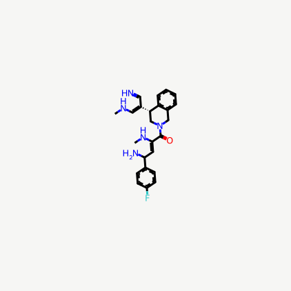 CN/C=C(\C=N)[C@H]1CN(C(=O)/C(=C/C(N)c2ccc(F)cc2)NC)Cc2ccccc21